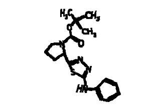 CC(C)(C)OC(=O)N1CCCC1c1nnc(Nc2ccccc2)s1